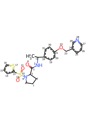 CC(NC(=O)C1CCCN1S(=O)(=O)c1cccs1)c1ccc(OCc2cccnc2)cc1